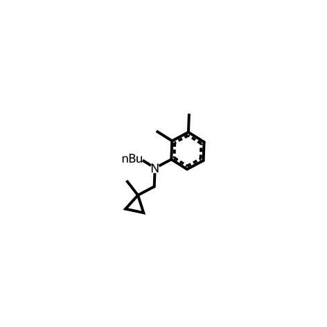 CCCCN(CC1(C)CC1)c1cccc(C)c1C